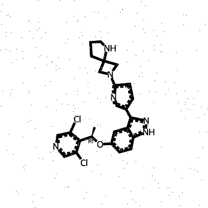 C[C@@H](Oc1ccc2[nH]nc(-c3ccc(N4CC5(CCCN5)C4)nc3)c2c1)c1c(Cl)cncc1Cl